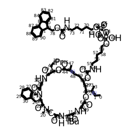 C/C=C(\C)[C@H]1OC(=O)[C@@H](C)NC(=O)[C@H]([C@H](C)CC)NC(=O)CN(C)C(=O)[C@@H](Cc2ccccc2)N(C)C(=O)[C@H](C)NC(=O)[C@@H](CC(C)C)OC(=O)/C(C)=C/C[C@H](OC(=O)NCCCCCOP(=O)(O)OP(=O)(O)OCCCCCNC(=O)OCC2c3ccccc3-c3ccccc32)[C@@H]1C